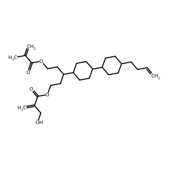 C=CCCC1CCC(C2CCC(C(CCOC(=O)C(=C)C)CCOC(=O)C(=C)CO)CC2)CC1